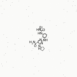 CCNC(=O)Nc1cccc(Nc2ncc(C(N)=O)c(NC3CCCC3)n2)c1